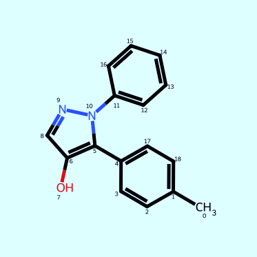 Cc1ccc(-c2c(O)cnn2-c2ccccc2)cc1